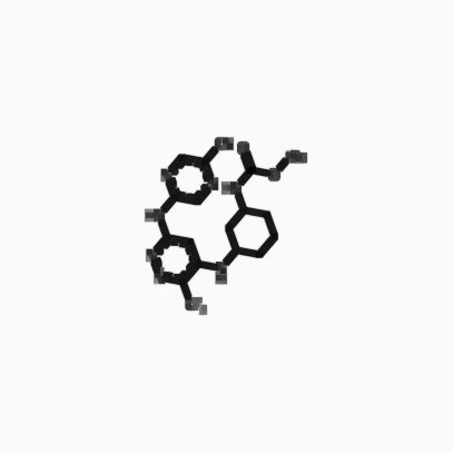 CC(C)(C)OC(=O)NC1CCCC(Nc2cc(Nc3cnc(C#N)cn3)nnc2C(F)(F)F)C1